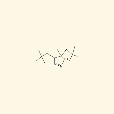 CC(C)(C)CC1C=NNC1(C)CC(C)(C)C